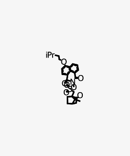 CC(C)CCOc1ccc2c3c(cccc13)C(=O)N(OS(=O)(=O)CC13CCC(CC1=O)C3(C)C)C2=O